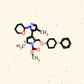 COC(=O)N1C(CO[C@H]2CC[C@@H](c3ccccc3)CC2)C(c2c(C)cnn2C2CCCCO2)=C[C@H]1C